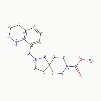 CC(C)(C)OC(=O)N1CCC2(CCN(Cc3cccc4c3NCCC4)C2)CC1